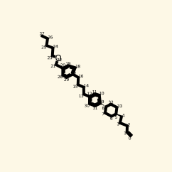 C=CCCC[C@H]1CC[C@H](c2ccc(CCCCc3ccc(COCCCCC)cc3)cc2)CC1